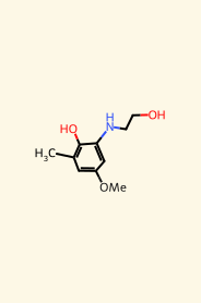 COc1cc(C)c(O)c(NCCO)c1